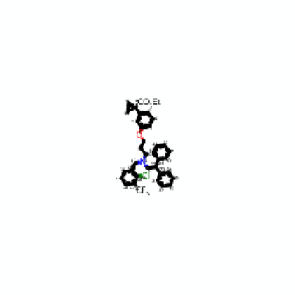 CCOC(=O)C1(c2cccc(OCCCN(Cc3cccc(C(F)(F)F)c3Cl)CC(c3ccccc3)c3ccccc3)c2)CC1